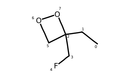 CCC1(CF)COO1